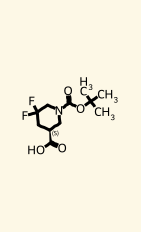 CC(C)(C)OC(=O)N1C[C@@H](C(=O)O)CC(F)(F)C1